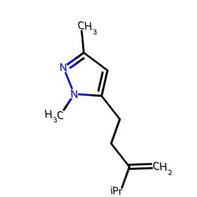 C=C(CCc1cc(C)nn1C)C(C)C